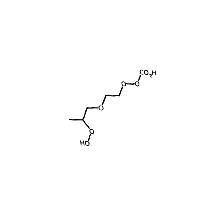 CC(COCCOOC(=O)O)OO